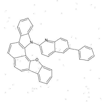 c1ccc(-c2ccc3nc(-n4c5ccccc5c5ccc6ccc7c8ccccc8oc7c6c54)ccc3c2)cc1